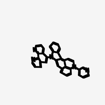 C1=CN(c2cccnc2)c2cccc3cc4c(c1c23)c1ccccc1n4-c1cc2cccnc2c2ncccc12